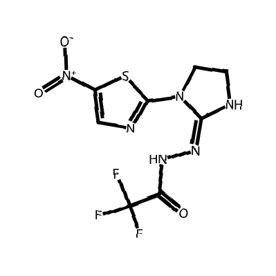 O=C(NN=C1NCCN1c1ncc([N+](=O)[O-])s1)C(F)(F)F